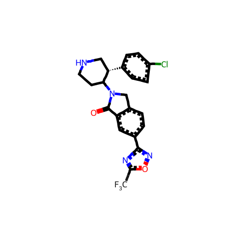 O=C1c2cc(-c3noc(C(F)(F)F)n3)ccc2CN1C1CCNC[C@@H]1c1ccc(Cl)cc1